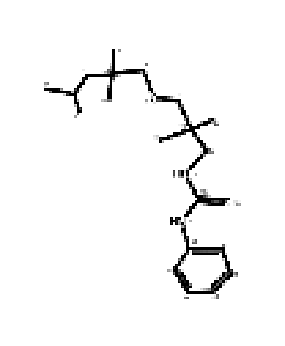 CC(C)CC(C)(C)COCC(C)(C)CNC(=S)Nc1ccccc1